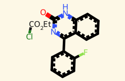 CCOC(=O)Cl.O=c1nc(-c2ccccc2F)c2ccccc2[nH]1